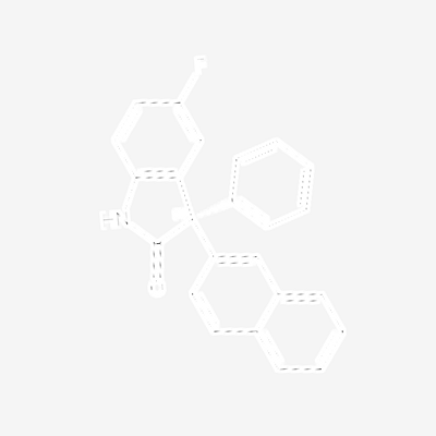 O=C1Nc2ccc(F)cc2[C@@]1(c1ccccc1)c1ccc2ccccc2c1